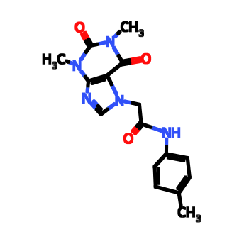 Cc1ccc(NC(=O)Cn2cnc3c2c(=O)n(C)c(=O)n3C)cc1